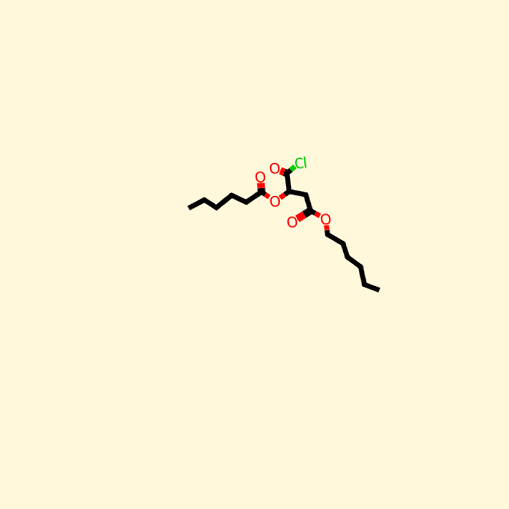 CCCCCCOC(=O)CC(OC(=O)CCCCC)C(=O)Cl